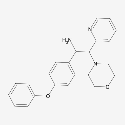 NC(c1ccc(Oc2ccccc2)cc1)C(c1ccccn1)N1CCOCC1